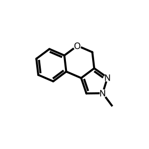 Cn1cc2c(n1)COc1ccccc1-2